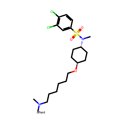 CCCCCN(C)CCCCCCO[C@H]1CC[C@H](N(C)S(=O)(=O)c2ccc(Cl)c(Cl)c2)CC1